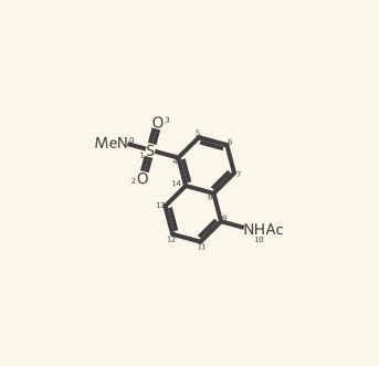 [CH2]NS(=O)(=O)c1cccc2c(NC(C)=O)cccc12